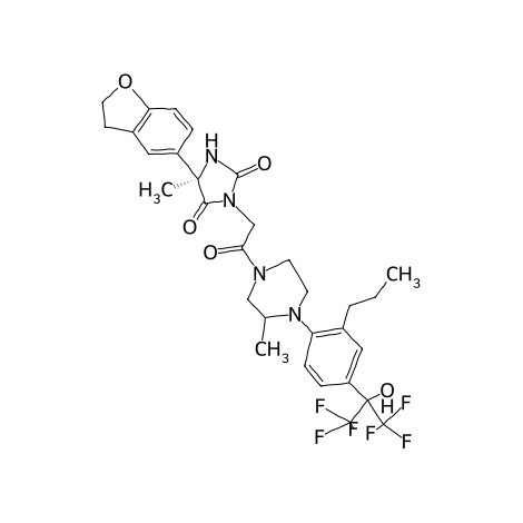 CCCc1cc(C(O)(C(F)(F)F)C(F)(F)F)ccc1N1CCN(C(=O)CN2C(=O)N[C@](C)(c3ccc4c(c3)CCO4)C2=O)CC1C